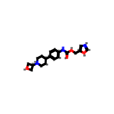 O=C(Nc1ccc(C2CCN(C3COC3)CC2)cc1)OCc1cnco1